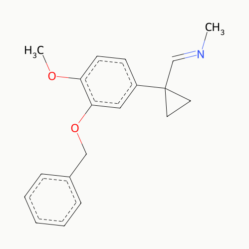 CN=CC1(c2ccc(OC)c(OCc3ccccc3)c2)CC1